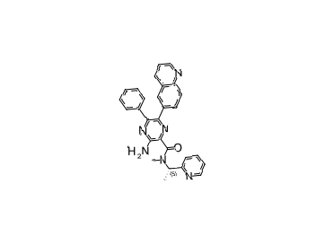 C[C@@H](c1ccccn1)N(C)C(=O)c1nc(-c2ccc3ncccc3c2)c(-c2ccccc2)nc1N